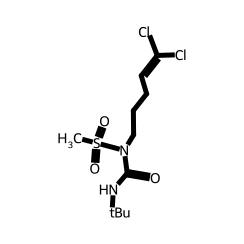 CC(C)(C)NC(=O)N(CCCC=C(Cl)Cl)S(C)(=O)=O